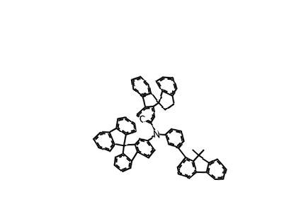 CC1(C)c2ccccc2-c2cccc(-c3cccc(N(c4ccc5c(c4)C4(CCc6ccccc64)c4ccccc4-5)c4ccc5c(c4)C4(c6ccccc6-c6ccccc64)c4ccccc4-5)c3)c21